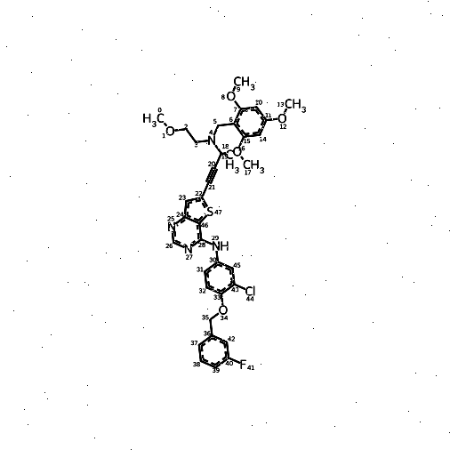 COCCN(Cc1c(OC)cc(OC)cc1OC)[C@@H](C)C#Cc1cc2ncnc(Nc3ccc(OCc4cccc(F)c4)c(Cl)c3)c2s1